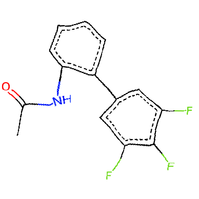 CC(=O)Nc1ccccc1-c1cc(F)c(F)c(F)c1